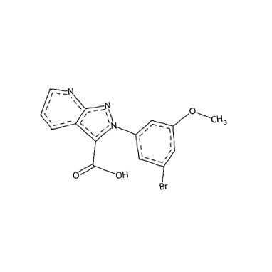 COc1cc(Br)cc(-n2nc3ncccc3c2C(=O)O)c1